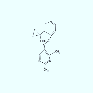 Cc1ncc(OCc2ccccc2C2(C=O)CC2)c(C)n1